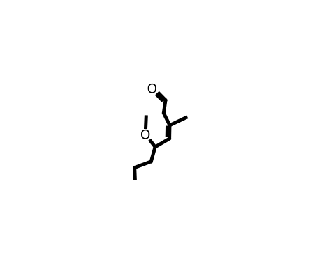 CCCC(C=C(C)CC=O)OC